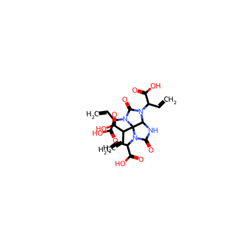 C=CC(C(=O)O)N1C(=O)N(C(C=C)C(=O)O)C2(C(C=C)C(=O)O)C1NC(=O)N2C(C=C)C(=O)O